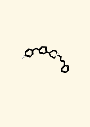 Fc1ccc(Cc2ccc(C3CCN(C/C=C/c4ccccc4)CC3)cc2)cc1